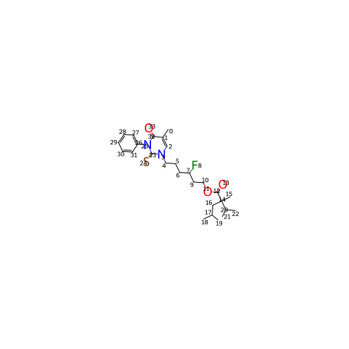 Cc1cn(CCCC(F)CCOC(=O)C(C)(CC(C)C)C(C)C)c(=S)n(-c2ccccc2)c1=O